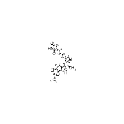 CCC(O)(Cn1nncc1CCCCN1CC(=O)NC1=O)c1ccc(Cl)c(OCC2CC2)c1